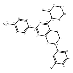 Cc1cc(N2CCc3c(nc(-c4ccc([N+](=O)[O-])cc4)nc3N3CCOCC3C)C2)ncn1